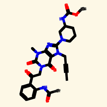 CC#CCn1c(N2CCCC(NC(=O)OC(C)(C)C)C2)nc2c1c(=O)n(CC(=O)c1ccccc1NC(=O)C(C)C)c(=O)n2C